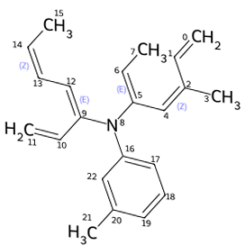 C=C/C(C)=C\C(=C/C)N(/C(C=C)=C/C=C\C)c1cccc(C)c1